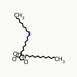 CCCCCCCC/C=C\CCCCCCCC1C(C(=O)O)CC(=O)N1CCCCCCCCCCCC